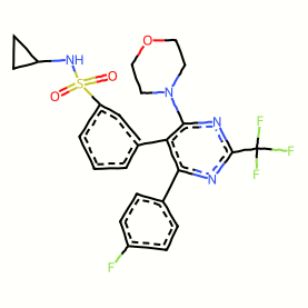 O=S(=O)(NC1CC1)c1cccc(-c2c(-c3ccc(F)cc3)nc(C(F)(F)F)nc2N2CCOCC2)c1